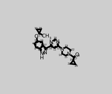 CC1(Oc2ccc3[nH]nc(-c4cc(N5CCN(C(=O)C6CC6)CC5)ncn4)c3c2)CC1